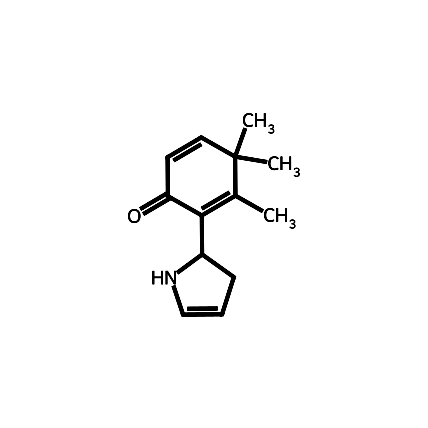 CC1=C(C2CC=CN2)C(=O)C=CC1(C)C